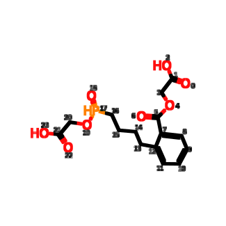 O=C(O)COC(=O)c1ccccc1CCCC[PH](=O)OCC(=O)O